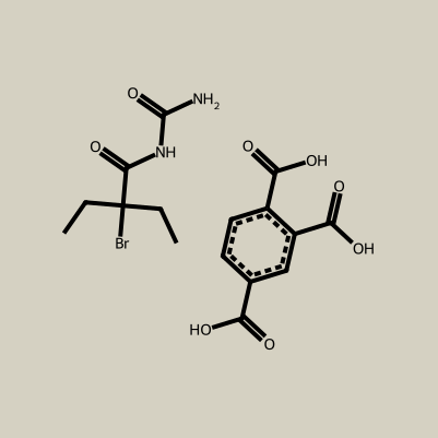 CCC(Br)(CC)C(=O)NC(N)=O.O=C(O)c1ccc(C(=O)O)c(C(=O)O)c1